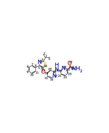 CC(C)c1nc(-c2ccccc2)c(Oc2ccnc(Nc3cccc(C(N)=O)n3)c2)s1